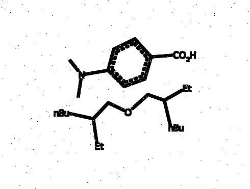 CCCCC(CC)COCC(CC)CCCC.CN(C)c1ccc(C(=O)O)cc1